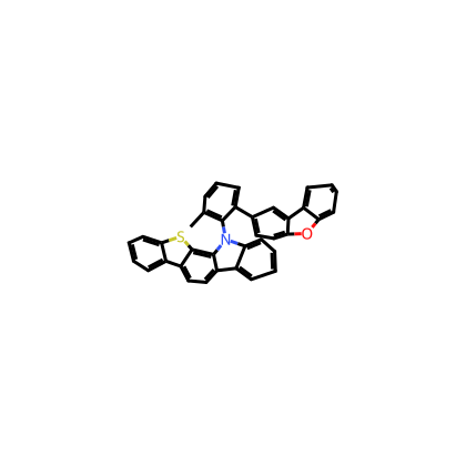 Cc1cccc(-c2ccc3oc4ccccc4c3c2)c1-n1c2ccccc2c2ccc3c4ccccc4sc3c21